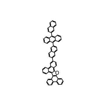 c1ccc2cc(-c3c4ccccc4c(-c4ccc5cc(-c6ccc7c(c6)c6ccccc6c6c7oc7c8ccccc8c8ccccc8c76)ccc5c4)c4ccccc34)ccc2c1